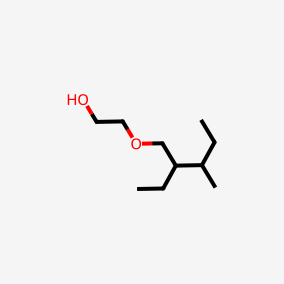 CCC(C)C(CC)COCCO